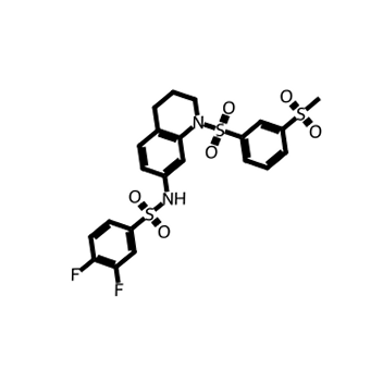 CS(=O)(=O)c1cccc(S(=O)(=O)N2CCCc3ccc(NS(=O)(=O)c4ccc(F)c(F)c4)cc32)c1